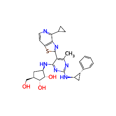 Cc1nc(N[C@@H]2C[C@H]2c2ccccc2)nc(N[C@@H]2C[C@H](CO)[C@@H](O)[C@H]2O)c1-c1nc2c(C3CC3)nccc2s1